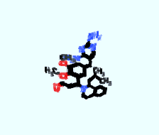 COc1cc(Cc2cnc(N)nc2N)cc(C(=CC=O)N2CCc3ccccc3C2CC(C)C)c1OC